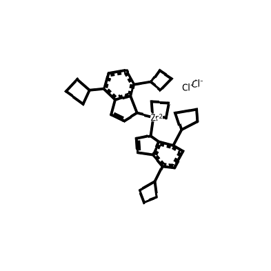 C1=C[CH]([Zr+2]2([CH]3C=Cc4c(C5CCC5)ccc(C5CCC5)c43)[CH2]C[CH2]2)c2c(C3CCC3)ccc(C3CCC3)c21.[Cl-].[Cl-]